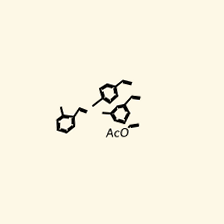 C=COC(C)=O.C=Cc1ccc(C)cc1.C=Cc1cccc(C)c1.C=Cc1ccccc1C